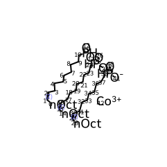 CCCCCCCC/C=C\CCCCCCCC[PH](=O)[O-].CCCCCCCC/C=C\CCCCCCCC[PH](=O)[O-].CCCCCCCC/C=C\CCCCCCCC[PH](=O)[O-].[Co+3]